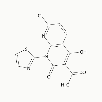 CC(=O)c1c(O)c2ccc(Cl)nc2n(-c2nccs2)c1=O